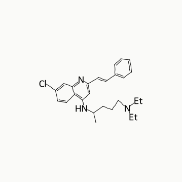 CCN(CC)CCCC(C)Nc1cc(/C=C/c2ccccc2)nc2cc(Cl)ccc12